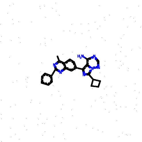 Cc1nc(-c2ccccc2)nc2cc(-c3nc(C4CCC4)n4ncnc(N)c34)ccc12